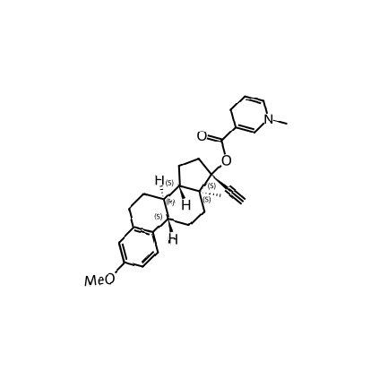 C#C[C@]1(OC(=O)C2=CN(C)C=CC2)CC[C@H]2[C@@H]3CCc4cc(OC)ccc4[C@H]3CC[C@@]21C